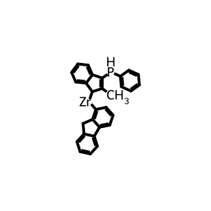 CC1=C(Pc2ccccc2)c2ccccc2[CH]1[Zr][c]1cccc2c1Cc1ccccc1-2